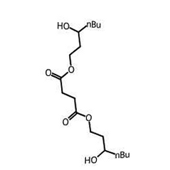 CCCCC(O)CCOC(=O)CCC(=O)OCCC(O)CCCC